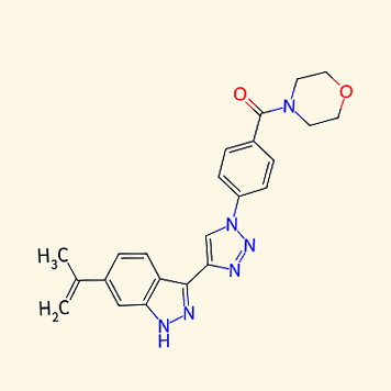 C=C(C)c1ccc2c(-c3cn(-c4ccc(C(=O)N5CCOCC5)cc4)nn3)n[nH]c2c1